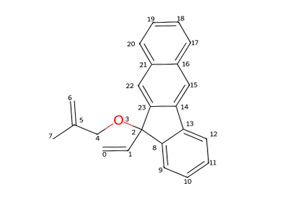 C=CC1(OCC(=C)C)c2ccccc2-c2cc3ccccc3cc21